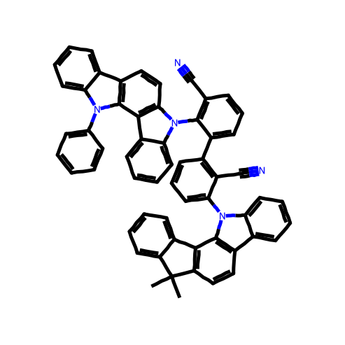 CC1(C)c2ccccc2-c2c1ccc1c3ccccc3n(-c3cccc(-c4cccc(C#N)c4-n4c5ccccc5c5c4ccc4c6ccccc6n(-c6ccccc6)c45)c3C#N)c21